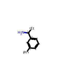 CCC(N)c1cccc(C(C)C)c1